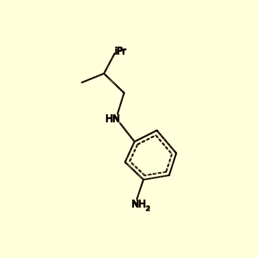 CC(C)C(C)CNc1cccc(N)c1